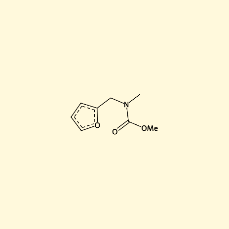 COC(=O)N(C)Cc1ccco1